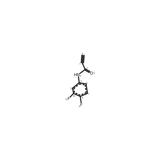 C#CC(=O)Nc1ccc(F)c(F)c1